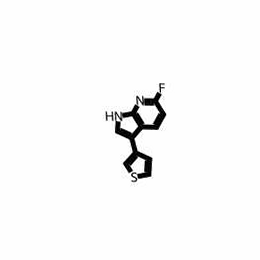 Fc1ccc2c(-c3ccsc3)c[nH]c2n1